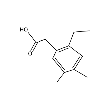 CCc1cc(C)c(C)cc1CC(=O)O